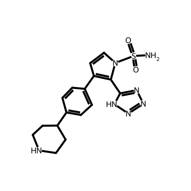 NS(=O)(=O)n1ccc(-c2ccc(C3CCNCC3)cc2)c1-c1nnn[nH]1